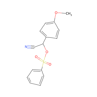 COc1ccc(C(C#N)OS(=O)(=O)c2ccccc2)cc1